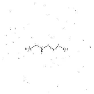 NCNCCCO